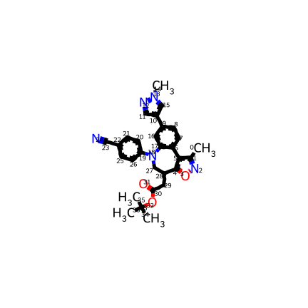 Cc1noc2c1-c1ccc(-c3cnn(C)c3)cc1N(c1ccc(C#N)cc1)CC2CC(=O)OC(C)(C)C